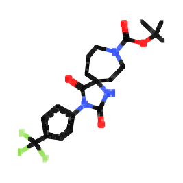 CC(C)(C)OC(=O)N1CCCC2(CC1)NC(=O)N(c1ccc(C(F)(F)F)cc1)C2=O